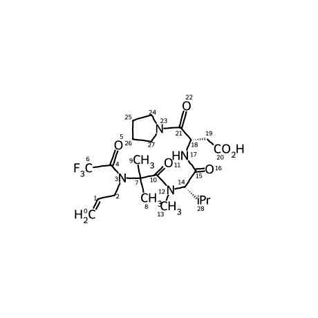 C=CCN(C(=O)C(F)(F)F)C(C)(C)C(=O)N(C)[C@H](C(=O)N[C@@H](CC(=O)O)C(=O)N1CCCC1)C(C)C